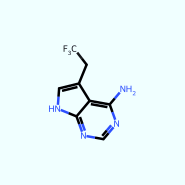 Nc1ncnc2[nH]cc(CC(F)(F)F)c12